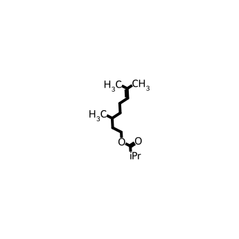 CC(C)=CCCC(C)CCOC(=O)C(C)C